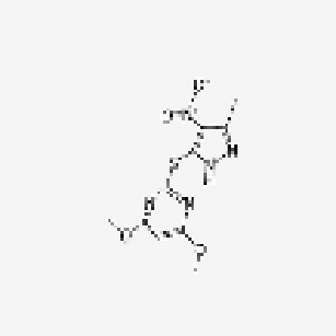 COc1cc(OC)nc(Sc2[nH]nc(C)c2[N+](=O)[O-])n1